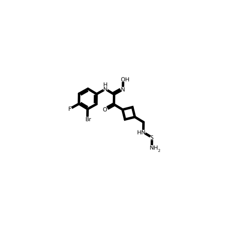 NSNCC1CC(C(=O)/C(=N/O)Nc2ccc(F)c(Br)c2)C1